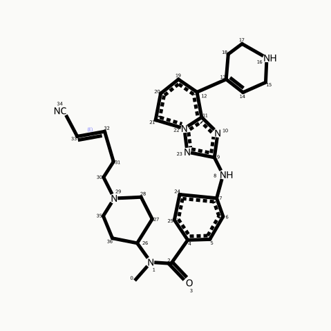 CN(C(=O)c1ccc(Nc2nc3c(C4=CCNCC4)cccn3n2)cc1)C1CCN(CC/C=C/C#N)CC1